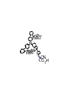 CCCCC1(CCCC)c2ccccc2-c2ccc(N(c3ccc4c(c3)C(CCCC)(CCCC)c3ccccc3-4)c3ccc4cc(-c5ccc(/C=C(\C#N)C(=O)O)s5)oc4c3)cc21